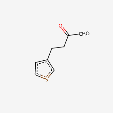 O=CC(=O)CCc1ccsc1